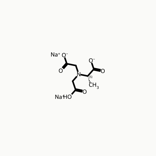 C[C@@H](C(=O)[O-])N(CC(=O)[O-])CC(=O)O.[Na+].[Na+]